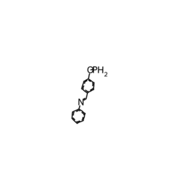 POc1ccc(/C=N/c2ccccc2)cc1